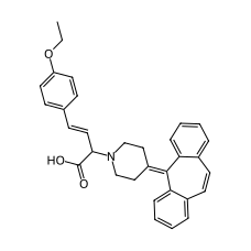 CCOc1ccc(C=CC(C(=O)O)N2CCC(=C3c4ccccc4C=Cc4ccccc43)CC2)cc1